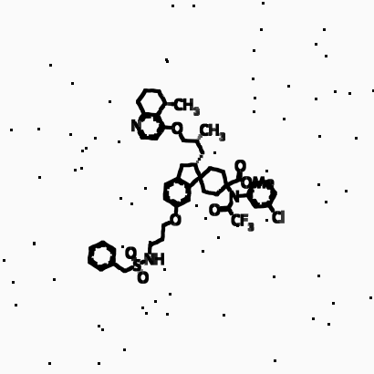 COC(=O)C1(N(C(=O)C(F)(F)F)c2cccc(Cl)c2)CCC2(CC1)c1cc(OCCCNS(=O)(=O)Cc3ccccc3)ccc1C[C@@H]2C[C@@H](C)COc1ccnc2c1[C@H](C)CCC2